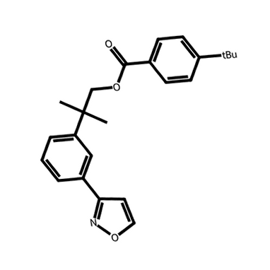 CC(C)(C)c1ccc(C(=O)OCC(C)(C)c2cccc(-c3ccon3)c2)cc1